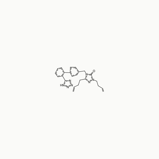 C=CCCc1nn(CCC=C)c(=O)n1Cc1ccc(-c2ccccc2-c2nnn[nH]2)cc1